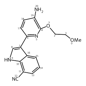 COCCOc1nc(-c2c[nH]c3c(C#N)cccc23)ccc1N